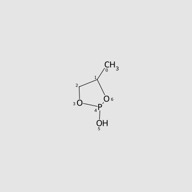 CC1COP(O)O1